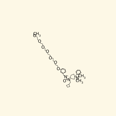 COCCOCCOCCOCCOCCOCCOc1cccc(CN2C[C@]3(CC[C@](c4ccccc4)(N(C)C)CC3)N(CC3CCC3)C2=O)c1